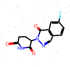 O=C1CCC(n2ncc3ccc(F)cc3c2=O)C(=O)N1